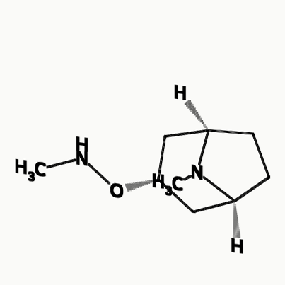 CNO[C@@H]1C[C@H]2CC[C@@H](C1)N2C